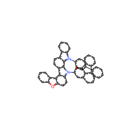 c1ccc(-c2ccc(-n3c4ccccc4c4ccc5c6c7c(ccc6n(-c6cc8c9c(cccc9c6)-c6ccccc6-8)c5c43)oc3ccccc37)cc2)cc1